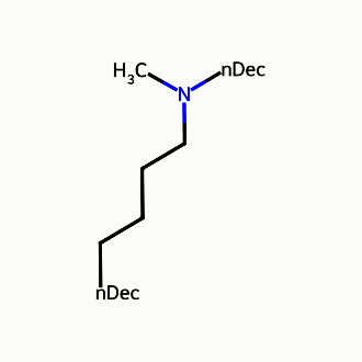 CCCCCCCCCCCCCCN(C)CCCCCCCCCC